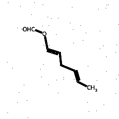 CC=CCC=CO[C]=O